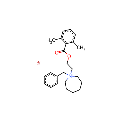 Cc1cccc(C)c1C(=O)OCC[N+]1(Cc2ccccc2)CCCCCC1.[Br-]